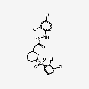 O=C(CC1CCCN(S(=O)(=O)c2cccc(Cl)c2Cl)C1)NNc1ccc(Cl)cc1Cl